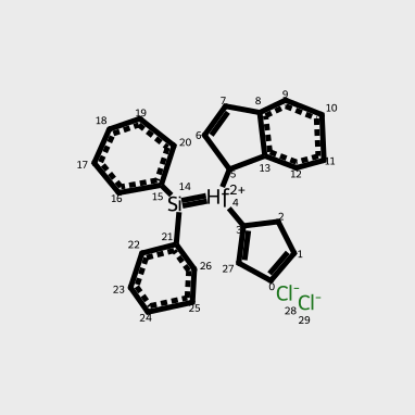 C1=CC[C]([Hf+2]([CH]2C=Cc3ccccc32)=[Si](c2ccccc2)c2ccccc2)=C1.[Cl-].[Cl-]